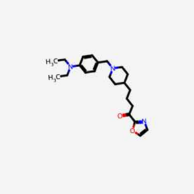 CCN(CC)c1ccc(CN2CCC(CCCC(=O)c3ncco3)CC2)cc1